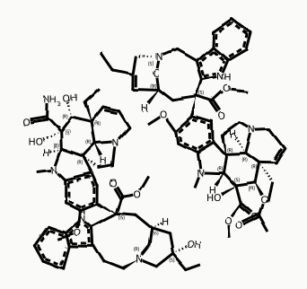 CCC1=C[C@@H]2C[N@](C1)Cc1c([nH]c3ccccc13)[C@@](C(=O)OC)(c1cc3c(cc1OC)N(C)[C@H]1[C@@](O)(C(=O)OC)[C@H](OC(C)=O)[C@]4(CC)C=CCN5CC[C@]31[C@@H]54)C2.CC[C@]1(O)C[C@H]2C[N@](CCc3c([nH]c4ccccc34)[C@@](C(=O)OC)(c3cc4c(cc3OC)N(C)[C@H]3[C@@](O)(C(N)=O)[C@H](O)[C@]5(CC)C=CCN6CC[C@]43[C@@H]65)C2)C1